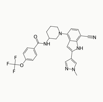 Cn1cc(-c2cc3c(N4CCCC(NC(=O)c5ccc(OC(F)(F)F)cc5)C4)ccc(C#N)c3[nH]2)cn1